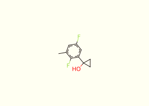 Cc1cc(F)cc(C2(O)CC2)c1F